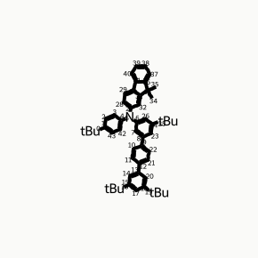 CC(C)(C)c1ccc(N(c2cc(-c3ccc(-c4cc(C(C)(C)C)cc(C(C)(C)C)c4)cc3)cc(C(C)(C)C)c2)c2ccc3c(c2)C(C)(C)c2ccccc2-3)cc1